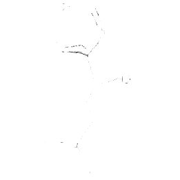 O=C(O)CC[S+]([O-])c1ccccn1